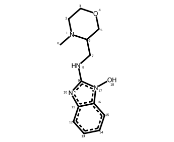 CN1CCOCC1CNc1nc2ccccc2n1O